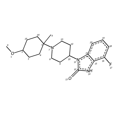 COC1CCC(C)(N2CCC(n3c(=O)[nH]c4c(F)cccc43)CC2)CC1